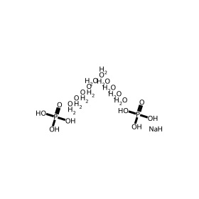 O.O.O.O.O.O.O.O.O.O.O=P(O)(O)O.O=P(O)(O)O.[NaH]